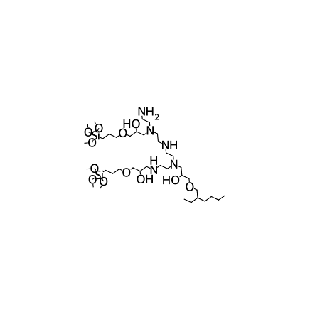 CCCCC(CC)COCC(O)CN(CCNCCN(CCN)CC(O)COCCC[Si](OC)(OC)OC)CCNCC(O)COCCC[Si](OC)(OC)OC